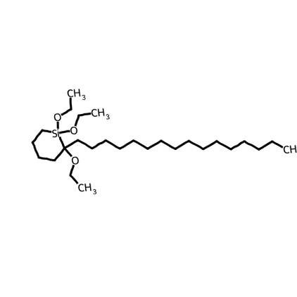 CCCCCCCCCCCCCCCCC1(OCC)CCCC[Si]1(OCC)OCC